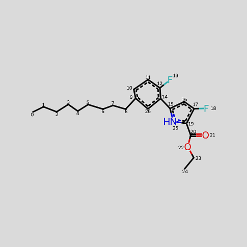 CCCCCCCCCc1ccc(F)c(-c2cc(F)c(C(=O)OCC)[nH]2)c1